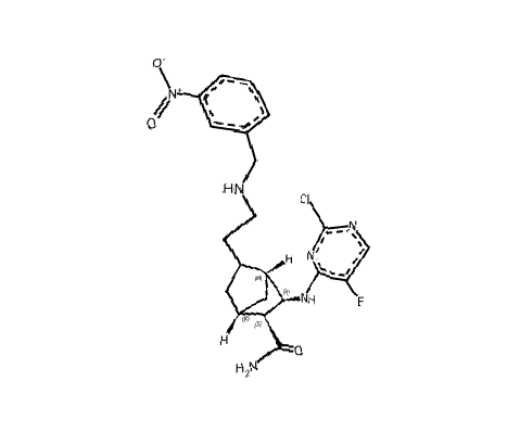 NC(=O)[C@H]1[C@@H]2CC(CCNCc3cccc([N+](=O)[O-])c3)[C@@H](C2)[C@H]1Nc1nc(Cl)ncc1F